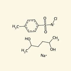 CC(O)CCC(C)O.Cc1ccc(S(=O)(=O)[N-]Cl)cc1.[Na+]